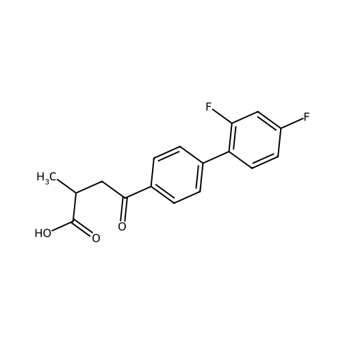 CC(CC(=O)c1ccc(-c2ccc(F)cc2F)cc1)C(=O)O